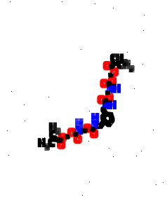 C=C(C)C(=O)OCOC(=O)NCOC(=O)NCC1CCCC(CNC(=O)OCNC(=O)OCOC(=O)C(=C)C)C1